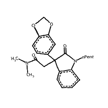 CCCCCN1C(=O)C(CC(=O)N(C)C)(c2ccc3c(c2)OCO3)c2ccccc21